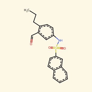 CCCc1ccc(NS(=O)(=O)c2ccc3ccccc3c2)cc1C=O